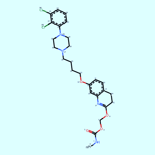 CCCNC(=O)OCOC1=Nc2cc(OCCCCN3CCN(c4cccc(Cl)c4Cl)CC3)ccc2CC1